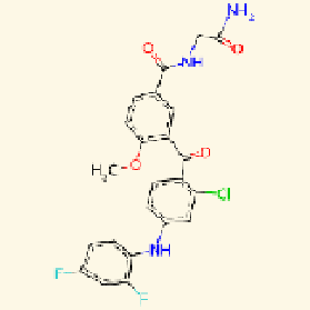 COc1ccc(C(=O)NCC(N)=O)cc1C(=O)c1ccc(Nc2ccc(F)cc2F)cc1Cl